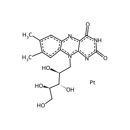 Cc1cc2nc3c(=O)[nH]c(=O)nc-3n(C[C@H](O)[C@H](O)[C@H](O)CO)c2cc1C.[Pt]